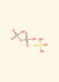 O=S(O)(O)=S.[O]=[Cr](=[O])([OH])[O][Cr](=[O])(=[O])[OH]